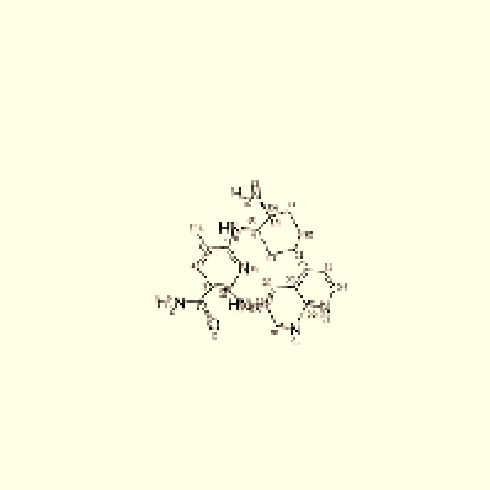 NC(=O)c1cc(F)c(N[C@@H]2CCCC[C@@H]2N)nc1Nc1cnc2ncccc2c1